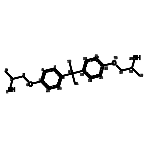 CC(S)COc1ccc(C(C)(C)c2ccc(OCC(C)S)cc2)cc1